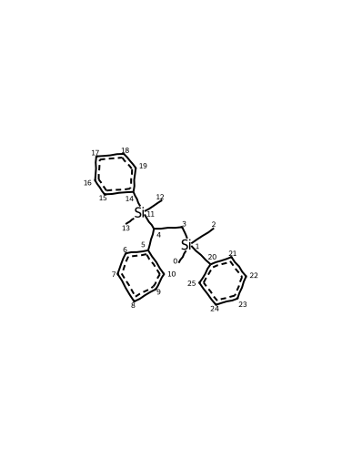 C[Si](C)(CC(c1ccccc1)[Si](C)(C)c1ccccc1)c1ccccc1